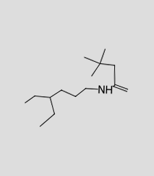 C=C(CC(C)(C)C)NCCCC(CC)CC